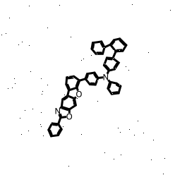 c1ccc(-c2nc3cc4c(cc3o2)oc2c(-c3ccc(N(c5ccccc5)c5ccc(-c6ccccc6-c6ccccc6)cc5)cc3)cccc24)cc1